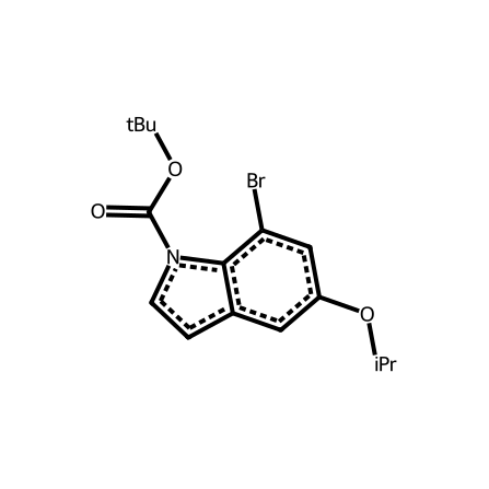 CC(C)Oc1cc(Br)c2c(ccn2C(=O)OC(C)(C)C)c1